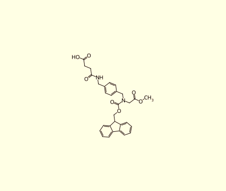 COC(=O)CN(Cc1ccc(CNC(=O)CCC(=O)O)cc1)C(=O)OCC1c2ccccc2-c2ccccc21